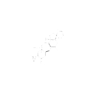 CC(=O)[C@H]1CC2=CC3=C(CC[C@@]2(O)C[C@@H]1N(C)C)[C@@H]1CCC2(OCCO2)[C@@]1(C)CC3C